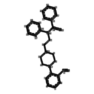 COc1ccccc1N1CCN(CCN(C(=O)c2ccccc2)c2ccccn2)CC1